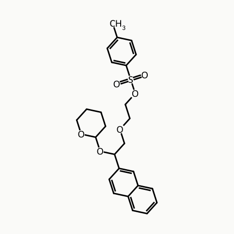 Cc1ccc(S(=O)(=O)OCCOCC(OC2CCCCO2)c2ccc3ccccc3c2)cc1